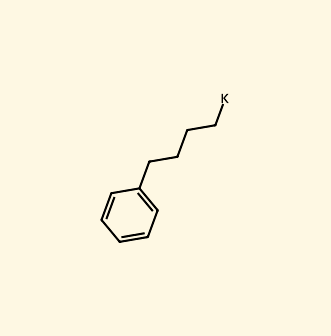 [K][CH2]CCCc1ccccc1